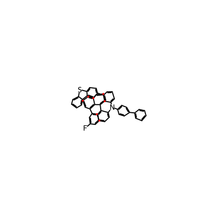 Fc1cccc(-c2cccc3cccc(-c4ccccc4N(c4ccc(-c5ccccc5)cc4)c4cccc(-c5ccc6sc7ccccc7c6c5)c4)c23)c1